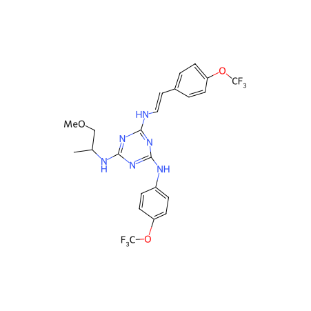 COCC(C)Nc1nc(N/C=C/c2ccc(OC(F)(F)F)cc2)nc(Nc2ccc(OC(F)(F)F)cc2)n1